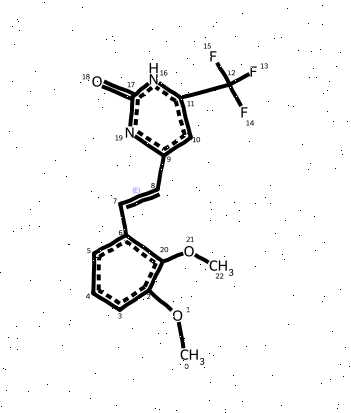 COc1cccc(/C=C/c2cc(C(F)(F)F)[nH]c(=O)n2)c1OC